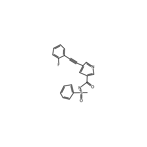 CS(=O)(=NC(=O)c1cncc(C#Cc2ccccc2F)c1)c1ccccc1